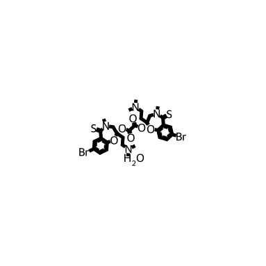 CN(C)CCC1(OC(=O)C(=O)OC2(CCN(C)C)CN(C)C(=S)c3cc(Br)ccc3O2)CN(C)C(=S)c2cc(Br)ccc2O1.O